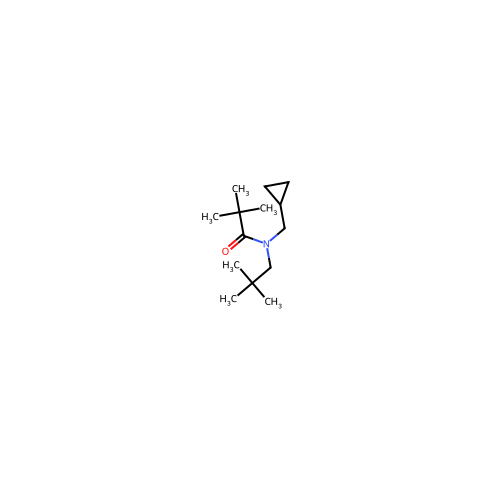 CC(C)(C)CN(CC1CC1)C(=O)C(C)(C)C